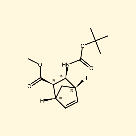 COC(=O)[C@H]1[C@@H](NC(=O)OC(C)(C)C)[C@@H]2C=C[C@H]1C2